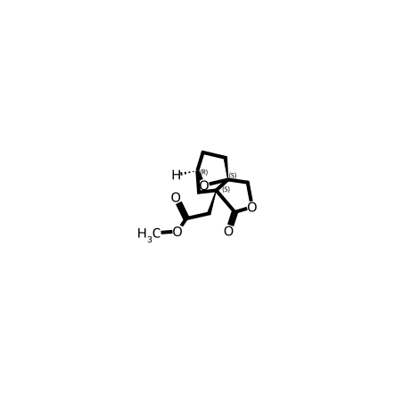 COC(=O)C[C@@]12C[C@H]3CC[C@]1(COC2=O)O3